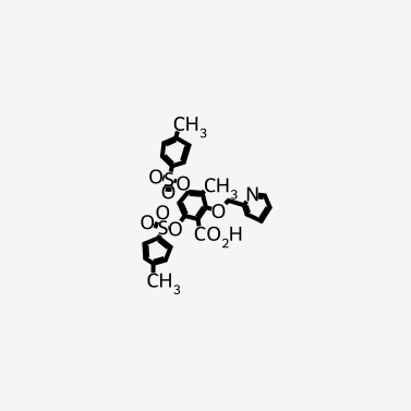 Cc1ccc(S(=O)(=O)Oc2cc(OS(=O)(=O)c3ccc(C)cc3)c(C(=O)O)c(OCc3ccccn3)c2C)cc1